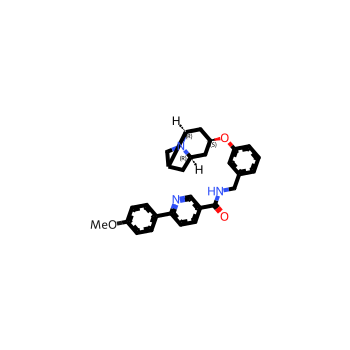 COc1ccc(-c2ccc(C(=O)NCc3cccc(O[C@H]4C[C@H]5CC6CN5[C@@H]6C4)c3)cn2)cc1